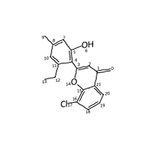 C=C1C=C(c2c(O)cc(C)cc2CC)Oc2c(Cl)cccc21